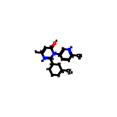 Cc1cc(=O)n(-c2ccc(C#N)nc2)c(C2CCCC(C(F)(F)F)C2)n1